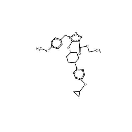 CCOC(=O)c1nnn(Cc2ccc(OC)cc2)c1O[C@H]1CC[C@H](c2ccc(OC3CC3)cc2)CC1